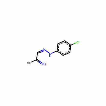 CC(=O)C(=N)/C=N\Nc1ccc(Cl)cc1